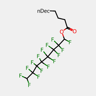 CCCCCCCCCCCCCC(=O)OC(F)C(F)(F)C(F)(F)C(F)(F)C(F)(F)C(F)(F)C(F)(F)C(F)F